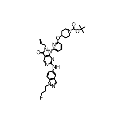 C=CCn1c(=O)c2cnc(Nc3ccc4c(cnn4CCCF)c3)nc2n1-c1cccc(OC2CCN(C(=O)OC(C)(C)C)CC2)n1